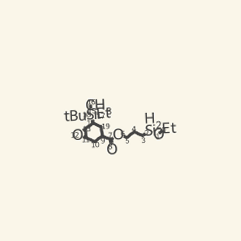 CCO[SiH2]CCCOC(=O)C1CC2OC2C([Si](C)(CC)C(C)(C)C)C1